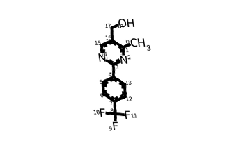 Cc1nc(-c2ccc(C(F)(F)F)cc2)ncc1CO